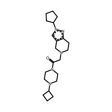 O=C(CN1CCc2nn(C3CCCC3)cc2C1)N1CCN(C2CCC2)CC1